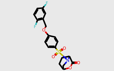 O=C1OC2CCC1N(S(=O)(=O)c1ccc(OCc3cc(F)ccc3F)cc1)C2